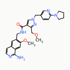 COCc1nn(Cc2ccc(N3CCCC3)nc2)cc1C(=O)NCc1cc2ccnc(N)c2cc1OC